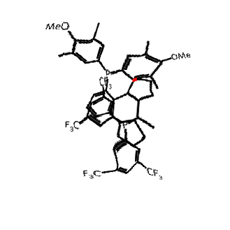 COc1c(C)cc(P(c2cc(C)c(OC)c(C)c2)c2cccc(C3CCCC3)c2C2CCCC2C(C)P(c2cc(C(F)(F)F)cc(C(F)(F)F)c2)c2cc(C(F)(F)F)cc(C(F)(F)F)c2)cc1C